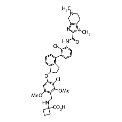 COc1cc(OC2CCc3c(-c4cccc(NC(=O)c5nc6c(n5C)CCN(C)C6)c4Cl)cccc32)c(Cl)c(OC)c1CNC1(C(=O)O)CCC1